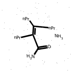 CCCC(CCC)=C(CCC)C(N)=O.N